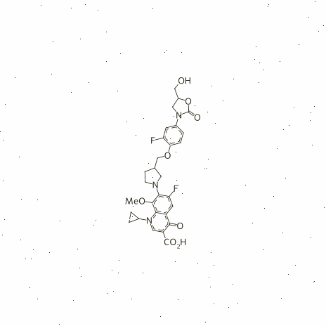 COc1c(N2CCC(COc3ccc(N4CC(CO)OC4=O)cc3F)C2)c(F)cc2c(=O)c(C(=O)O)cn(C3CC3)c12